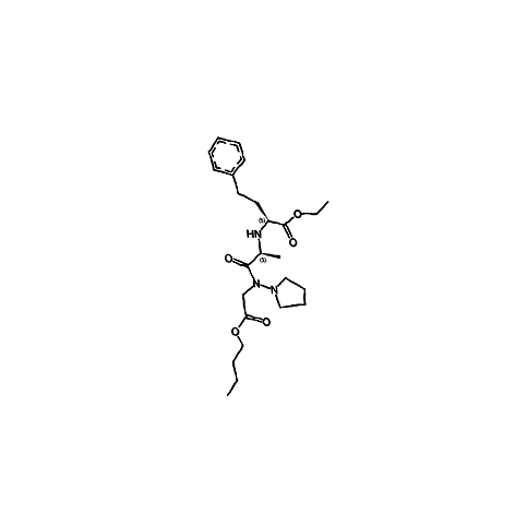 CCCCOC(=O)CN(C(=O)[C@H](C)N[C@@H](CCc1ccccc1)C(=O)OCC)N1CCCC1